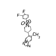 Cc1cc2ncnn2cc1C1CCN(S(=O)(=O)c2ccc(F)c(F)c2)CC1